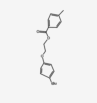 Cc1ccc(C(=O)OCCOc2ccc(C(C)(C)C)cc2)cc1